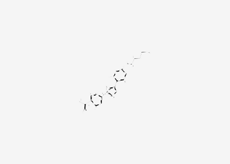 CCCCCOc1ccc(-c2cnc(-c3ccc(C(C)=O)cc3)[nH]2)cc1